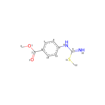 COC(=O)c1ccc(NC(=N)SC)cc1